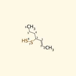 CC=CC(CCC)SS